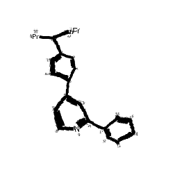 CC(C)C(c1ccc(-c2ccnc(-c3ccccc3)c2)cc1)C(C)C